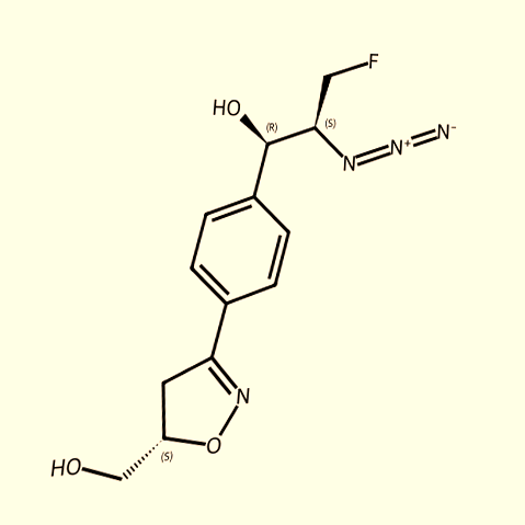 [N-]=[N+]=N[C@H](CF)[C@H](O)c1ccc(C2=NO[C@H](CO)C2)cc1